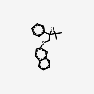 CC1(C)OC1(CSc1ccc2ccccc2c1)c1ccccc1